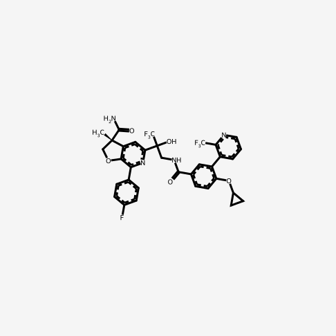 C[C@]1(C(N)=O)COc2c1cc(C(O)(CNC(=O)c1ccc(OC3CC3)c(-c3cccnc3C(F)(F)F)c1)C(F)(F)F)nc2-c1ccc(F)cc1